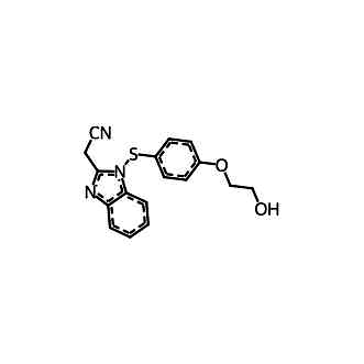 N#CCc1nc2ccccc2n1Sc1ccc(OCCO)cc1